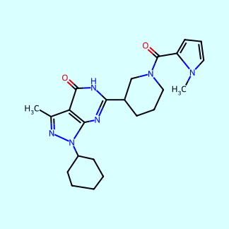 Cc1nn(C2CCCCC2)c2nc(C3CCCN(C(=O)c4cccn4C)C3)[nH]c(=O)c12